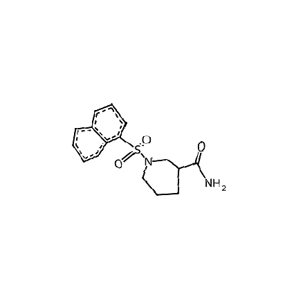 NC(=O)C1CCCN(S(=O)(=O)c2cccc3ccccc23)C1